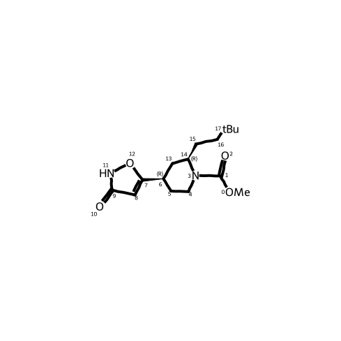 COC(=O)N1CC[C@@H](c2cc(=O)[nH]o2)C[C@H]1CCC(C)(C)C